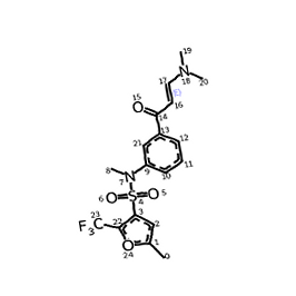 Cc1cc(S(=O)(=O)N(C)c2cccc(C(=O)/C=C/N(C)C)c2)c(C(F)(F)F)o1